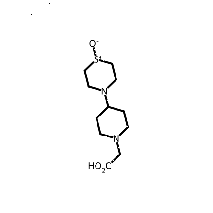 O=C(O)CN1CCC(N2CC[S+]([O-])CC2)CC1